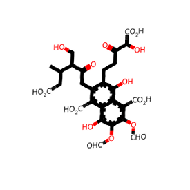 CC(CC(=O)O)C(CO)C(=O)Cc1c(CCC(=O)C(O)C(=O)O)c(O)c2c(C(=O)O)c(OC=O)c(OC=O)c(O)c2c1C(=O)O